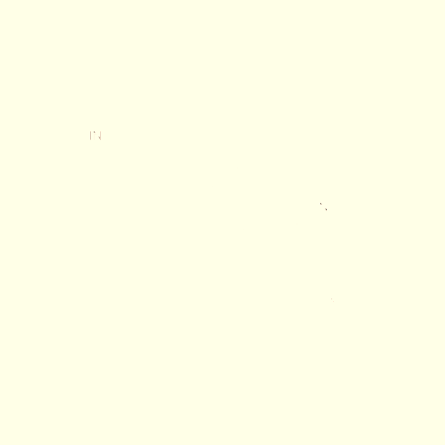 C=C(C)CCC(=N)c1ccc(C(/C=C\C=N)=C(C)C)c(C)c1